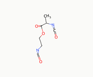 CC(N=C=O)C(=O)OCCN=C=O